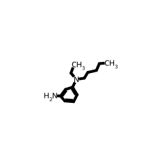 CCCCCN(CC)c1cccc(N)c1